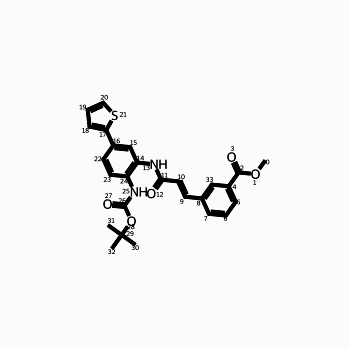 COC(=O)c1cccc(/C=C/C(=O)Nc2cc(-c3cccs3)ccc2NC(=O)OC(C)(C)C)c1